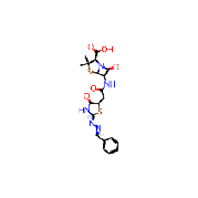 CC1(C)SC2C(NC(=O)CC3S/C(=N\N=C\c4ccccc4)NC3=O)C(=O)N2C1C(=O)O